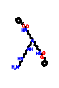 NCCCNCCCCNCCCN(CCCCCNC(=O)OCc1ccccc1)CCCCCNC(=O)OCc1ccccc1